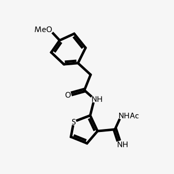 COc1ccc(CC(=O)Nc2sccc2C(=N)NC(C)=O)cc1